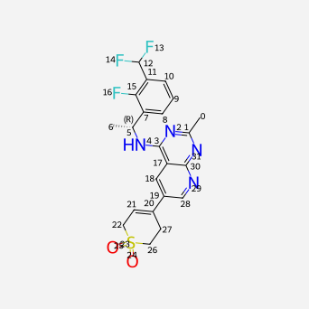 Cc1nc(N[C@H](C)c2cccc(C(F)F)c2F)c2cc(C3=CCS(=O)(=O)CC3)cnc2n1